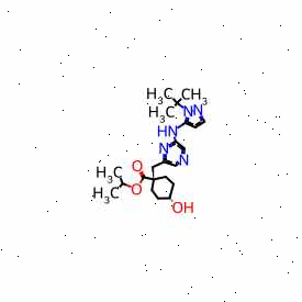 CC(C)OC(=O)[C@]1(Cc2cncc(Nc3ccnn3C(C)(C)C)n2)CC[C@H](O)CC1